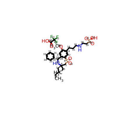 CCCC[C@]1(CC)CS(=O)(=O)c2cc(CCCNCCS(=O)(=O)O)c(OC)cc2[C@@H](c2ccccc2)N1.O=C(O)C(F)(F)F